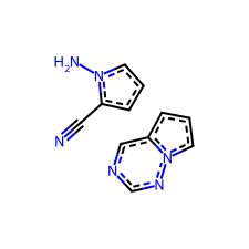 N#Cc1cccn1N.c1cc2cncnn2c1